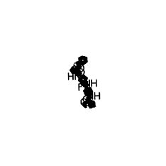 CC(=O)N1CCC[C@H]1C(=O)Nc1ccc(-c2[nH]c3ccc(NC(=O)[C@@H]4CCCN4C(=O)[CH]c4ccccc4)cc3c2F)cc1